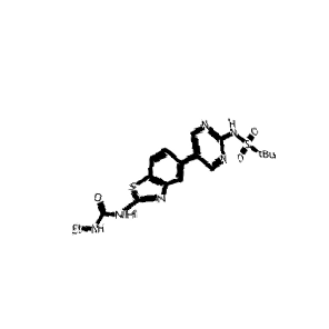 CCNC(=O)Nc1nc2cc(-c3cnc(NS(=O)(=O)C(C)(C)C)nc3)ccc2s1